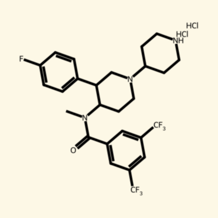 CN(C(=O)c1cc(C(F)(F)F)cc(C(F)(F)F)c1)C1CCN(C2CCNCC2)CC1c1ccc(F)cc1.Cl.Cl